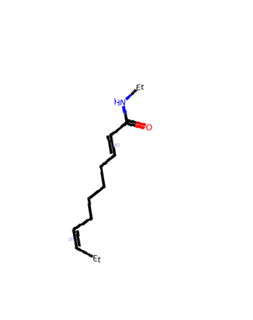 CC/C=C\CCCC/C=C/C(=O)NCC